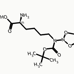 CC(C)(C)OC(=O)N(CCCC[C@H](N)C(=O)O)N1OCCO1